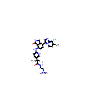 Cc1ccn2c(-c3ccc(Nc4ccc(C(C)(C)C(=O)NCCN(C)C)cn4)c4c3CNC4=O)cnc2c1F